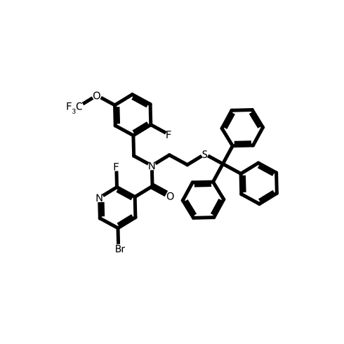 O=C(c1cc(Br)cnc1F)N(CCSC(c1ccccc1)(c1ccccc1)c1ccccc1)Cc1cc(OC(F)(F)F)ccc1F